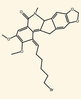 COc1cc2c(c(=CCCCCCBr)c1OC)=C1Cc3cc4c(cc3C1N(C)C2=O)OCO4